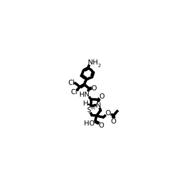 CC(=O)OCC1(C(=O)O)CS[C@@H]2C(NC(=O)C(=C(Cl)Cl)c3ccc(N)cc3)C(=O)N2C1